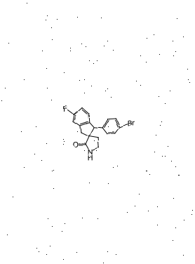 O=C1NCCC12Cc1cc(F)ccc1C2c1ccc(Br)cc1